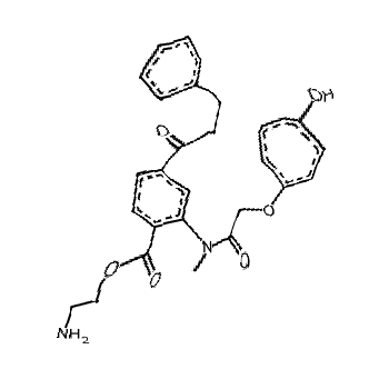 CN(C(=O)COc1ccc(O)cc1)c1cc(C(=O)CCc2ccccc2)ccc1C(=O)OCCN